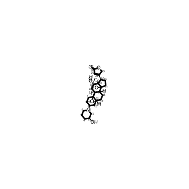 C[C@]12CC[C@H](N3CCC[C@H](O)C3)C[C@H]1CC[C@@H]1[C@@H]2C[C@@H](O)[C@]2(C)[C@@H](C3=CC(=O)OC3)CC[C@]12O